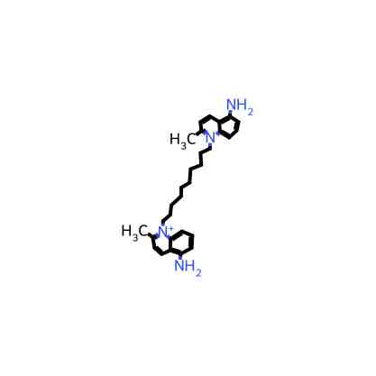 Cc1ccc2c(N)cccc2[n+]1CCCCCCCCCC[n+]1c(C)ccc2c(N)cccc21